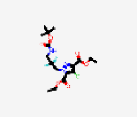 CCOC(=O)c1nn(CC(F)(F)CNC(=O)OC(C)(C)C)c(C(=O)OCC)c1Cl